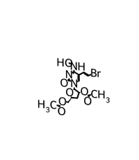 CC(=O)OC[C@@H]1C[C@@H](OC(C)=O)[C@H](n2cc(C=CBr)c(NO)nc2=O)O1